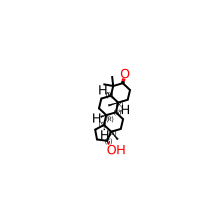 CC1(C)C(=O)CC[C@]2(C)[C@H]3CC[C@]4(C)[C@@H](O)CC[C@H]4[C@@H]3CC[C@@H]12